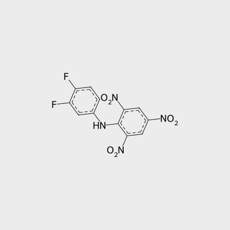 O=[N+]([O-])c1cc([N+](=O)[O-])c(Nc2ccc(F)c(F)c2)c([N+](=O)[O-])c1